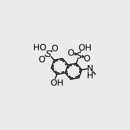 CNc1ccc2c(O)cc(S(=O)(=O)O)cc2c1S(=O)(=O)O